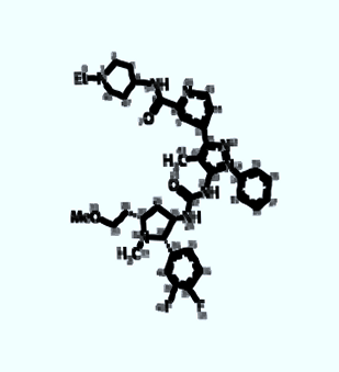 CCN1CCC(NC(=O)c2cc(-c3nn(-c4ccccc4)c(NC(=O)N[C@@H]4C[C@@H](CCOC)N(C)[C@H]4c4ccc(F)c(F)c4)c3C)ccn2)CC1